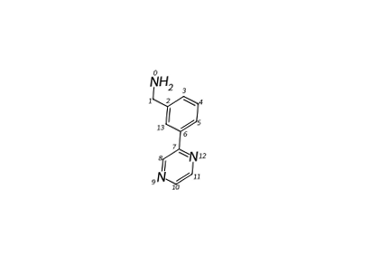 NCc1cccc(-c2cnccn2)c1